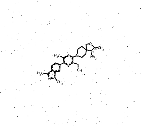 Cc1nc(N2CCC3(CC2)CO[C@@H](C)[C@H]3N)c(CO)nc1-c1ccc2c(C)nn(C)c2c1